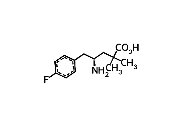 CC(C)(C[C@@H](N)Cc1ccc(F)cc1)C(=O)O